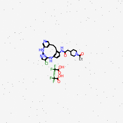 CCC(=O)N1CCC(CC(=O)Nc2ccc3cc2CCc2cncc(c2)Nc2ncc(Cl)c(n2)N3)CC1.O=C(O)C(F)(F)F.O=C(O)C(F)(F)F